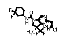 C[C@@]1(C(F)(F)F)CN(C(=O)N[C@@H]2CCCC(F)(F)C2)c2cnc3cc(Cl)nn3c21